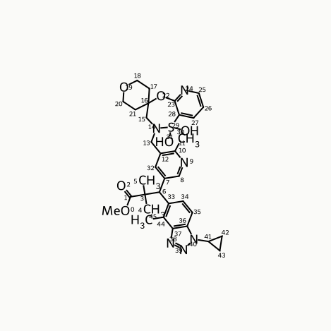 COC(=O)C(C)(C)C(c1cnc(C)c(CN2CC3(CCOCC3)Oc3ncccc3S2(O)O)c1)c1ccc2c(nnn2C2CC2)c1C